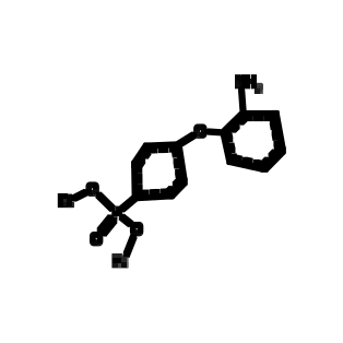 CCOP(=O)(OCC)c1ccc(Oc2ccccc2N)cc1